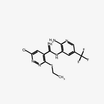 CCSc1nnc(Cl)cc1C(=P)Nc1cc(C(F)(F)F)cnc1N